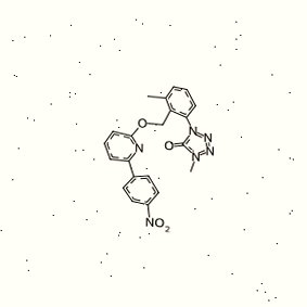 Cc1cccc(-n2nnn(C)c2=O)c1COc1cccc(-c2ccc([N+](=O)[O-])cc2)n1